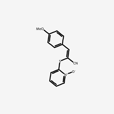 COc1ccc(C=C(C#N)Sc2cccc[n+]2[O-])cc1